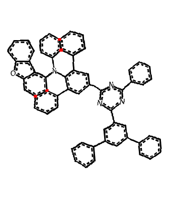 c1ccc(-c2cc(-c3ccccc3)cc(-c3nc(-c4ccccc4)nc(-c4cc(-c5ccccc5)c(N(c5ccccc5)c5cccc6oc7ccccc7c56)c(-c5ccccc5)c4)n3)c2)cc1